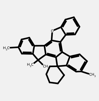 Cc1ccc2c(c1)C(C)(C)c1c3c(c4c(oc5ccccc54)c1-2)-c1ccc(C)cc1C31CCCCC1